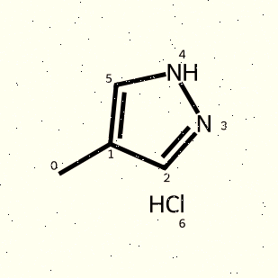 Cc1cn[nH]c1.Cl